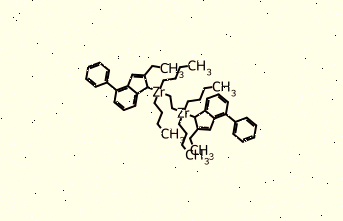 CCC[CH2][Zr]([CH2]CCC)([CH2][CH2][Zr]([CH2]CCC)([CH2]CCC)[CH]1C(CC)=Cc2c(-c3ccccc3)cccc21)[CH]1C(CC)=Cc2c(-c3ccccc3)cccc21